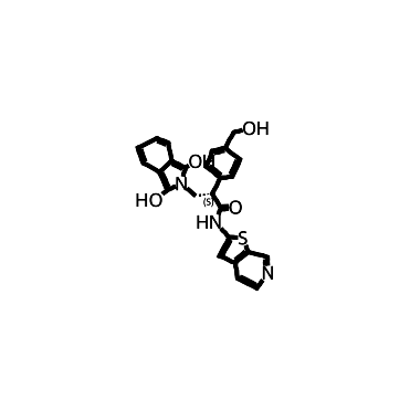 O=C(Nc1cc2ccncc2s1)[C@H](Cn1c(O)c2ccccc2c1O)c1ccc(CO)cc1